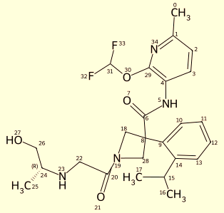 Cc1ccc(NC(=O)C2(c3ccccc3C(C)C)CN(C(=O)CN[C@H](C)CO)C2)c(OC(F)F)n1